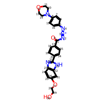 O=C(N=[N+]=Nc1ccc(N2CCOCC2)cc1)c1ccc(-c2nc3ccc(OCCO)cc3[nH]2)cc1